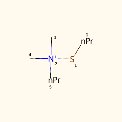 CCCS[N+](C)(C)CCC